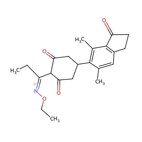 CCO/N=C(/CC)C1C(=O)CC(c2c(C)cc3c(c2C)C(=O)CC3)CC1=O